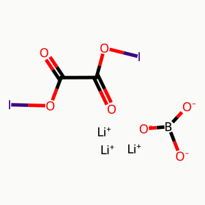 O=C(OI)C(=O)OI.[Li+].[Li+].[Li+].[O-]B([O-])[O-]